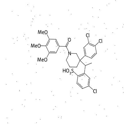 COc1cc(C(=O)N2CCCC(c3ccc(Cl)c(Cl)c3)(C(C)c3cc(Cl)ccc3S(=O)(=O)O)C2)cc(OC)c1OC